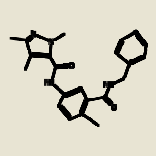 Cc1ccc(NC(=O)c2c(C)c(C)nn2C)cc1C(=O)NCc1ccccc1